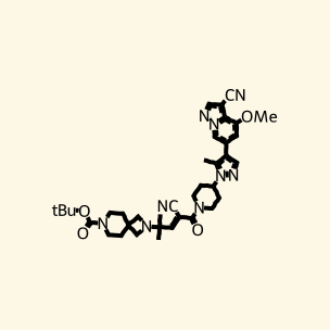 COc1cc(-c2cnn(C3CCN(C(=O)/C(C#N)=C/C(C)(C)N4CC5(CCN(C(=O)OC(C)(C)C)CC5)C4)CC3)c2C)cn2ncc(C#N)c12